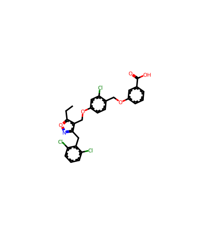 CCc1onc(Cc2c(Cl)cccc2Cl)c1COc1ccc(COc2cccc(C(=O)O)c2)c(Cl)c1